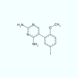 COc1ccc(I)cc1-c1cnc(N)nc1N